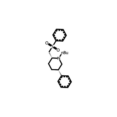 CCCCN1C[C@H](c2ccccc2)CC[C@@H]1CS(=O)(=O)c1ccccc1